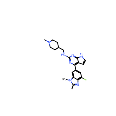 Cc1nc2c(F)cc(-c3nc(NCC4CCN(C)CC4)nc4[nH]ccc34)cc2n1C(C)C